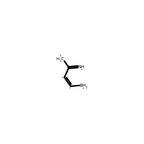 B/C=C\C(C)=N